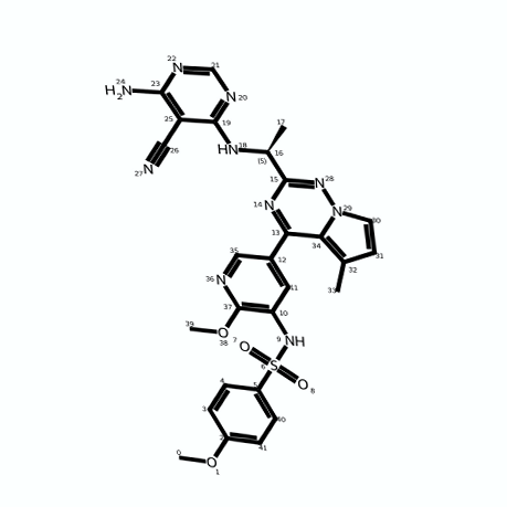 COc1ccc(S(=O)(=O)Nc2cc(-c3nc([C@H](C)Nc4ncnc(N)c4C#N)nn4ccc(C)c34)cnc2OC)cc1